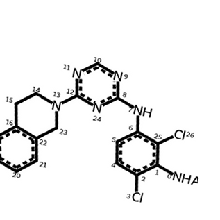 CC(=O)Nc1c(Cl)ccc(Nc2ncnc(N3CCc4cc(Br)ccc4C3)n2)c1Cl